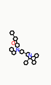 c1ccc(-c2ccc3c(c2)oc2cc(N(c4ccc(-c5ccn6c(c5)c(-c5ccccc5)c5c7ccccc7c7ccccc7c56)cc4)c4cccc5ccccc45)ccc23)cc1